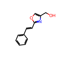 OCc1coc(/C=C/c2ccccc2)n1